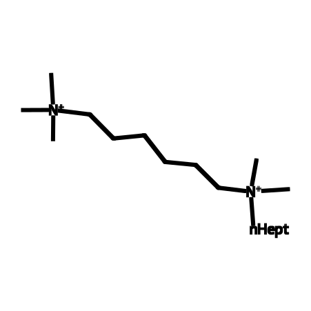 CCCCCCC[N+](C)(C)CCCCCC[N+](C)(C)C